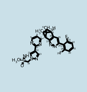 CC1(C)[C@H]2CC[C@]1(c1ccnc(-c3cnn(C[S@@](C)(=N)=O)c3)n1)c1nnc(-c3c(F)cccc3F)cc12